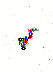 CC(=O)N(NCc1cccc(F)c1Cl)[C@@H](CCC(=O)N1CCN(C(=O)OC(C)(C)C)CC1)COC(=O)Nc1nc2ccccc2s1